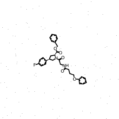 O=C(CCCOc1ccccc1)NCC(=O)N1C[C@@H](c2ccc(F)cc2)C[C@H]1C(=O)OCc1ccccc1